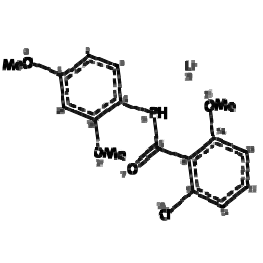 COc1ccc(PC(=O)c2c(Cl)cccc2OC)c(OC)c1.[Li]